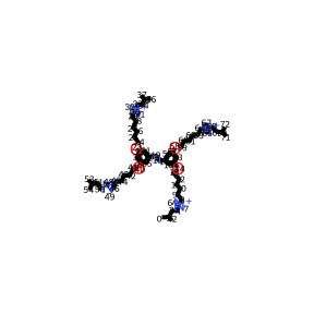 CC(C)CC[N+](C)(C)CCCCCCOc1cc(/C=C/c2cc(OCCCCCC[N+](C)(C)CCC(C)C)cc(OCCCCCC[N+](C)(C)CCC(C)C)c2)cc(OCCCCCC[N+](C)(C)CCC(C)C)c1